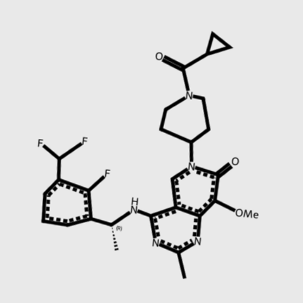 COc1c(=O)n(C2CCN(C(=O)C3CC3)CC2)cc2c(N[C@H](C)c3cccc(C(F)F)c3F)nc(C)nc12